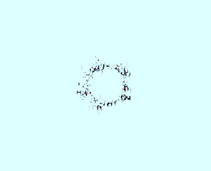 CCCC[C@H]1C(=O)N(C)[C@@H](CCCC)C(=O)N[C@@H](CC(C)C)C(=O)N[C@H](C(=O)NCC(N)=O)CSCC(=O)N[C@@H](Cc2ccc(O)cc2)C(=O)N(C)[C@@H](C)C(=O)N[C@@H](CC(=O)O)C(=O)N2CCC[C@H]2C(=O)N[C@@H](CCN)C(=O)N[C@@H](CC(C)C)C(=O)N2CCC[C@H]2C(=O)N[C@@H](Cc2c[nH]c3ccccc23)C(=O)N[C@@H](CO)C(=O)N[C@@H](Cc2c[nH]c3ccccc23)C(=O)N1C